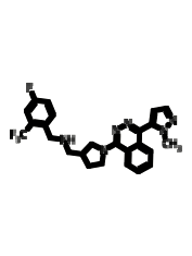 Cn1nccc1-c1nnc(N2CCC(CNCc3ccc(F)cc3C(F)(F)F)C2)c2ccccc12